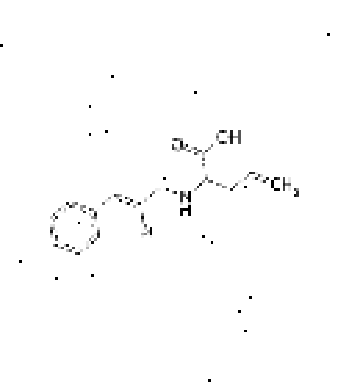 C=CCC(NCC(Br)=Cc1ccccc1)C(=O)O